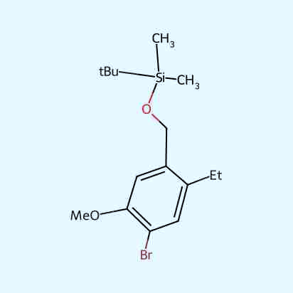 CCc1cc(Br)c(OC)cc1CO[Si](C)(C)C(C)(C)C